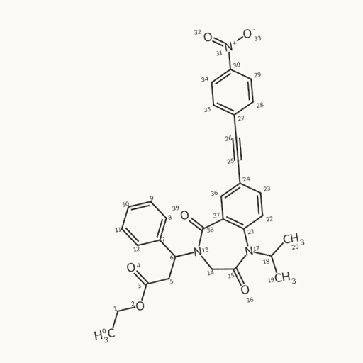 CCOC(=O)CC(c1ccccc1)N1CC(=O)N(C(C)C)c2ccc(C#Cc3ccc([N+](=O)[O-])cc3)cc2C1=O